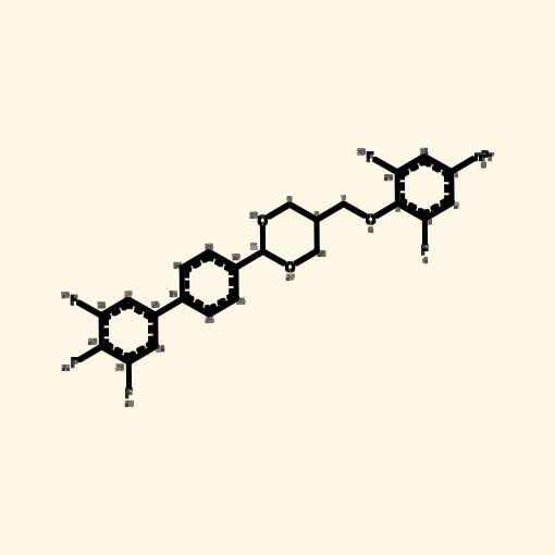 CCCc1cc(F)c(OCC2COC(c3ccc(-c4cc(F)c(F)c(F)c4)cc3)OC2)c(F)c1